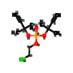 C#CC(C)(C)OP(=O)(OCCCl)OC(C)(C)C#C